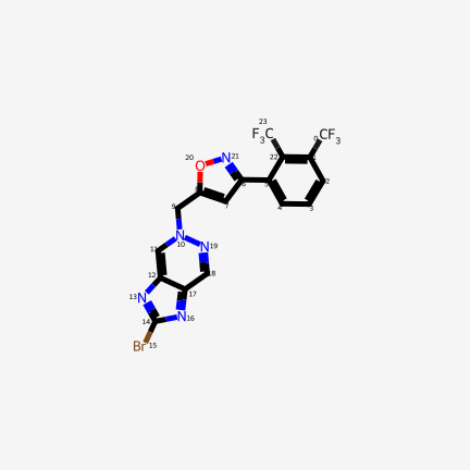 FC(F)(F)c1cccc(-c2cc(Cn3cc4nc(Br)nc-4cn3)on2)c1C(F)(F)F